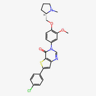 COc1cc(-n2cnc3cc(-c4ccc(Cl)cc4)sc3c2=O)ccc1OC[C@@H]1CCCN1C